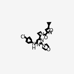 O=C(c1cc(C2CC2)on1)N1CCC1c1cc(Nc2ccc(Cl)cc2)nc(N2CCOCC2)n1